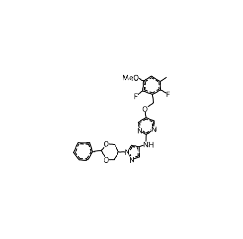 COc1cc(C)c(F)c(COc2cnc(Nc3cnn(C4COC(c5ccccc5)OC4)c3)nc2)c1F